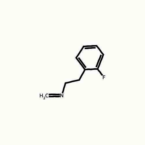 C=NCCc1ccccc1F